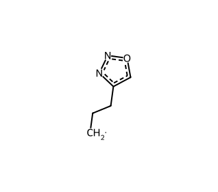 [CH2]CCc1conn1